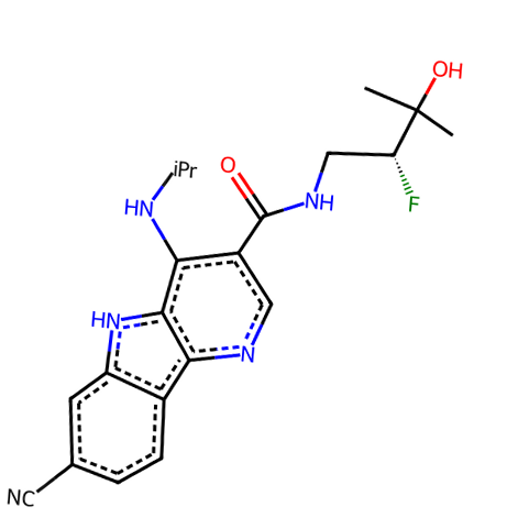 CC(C)Nc1c(C(=O)NC[C@@H](F)C(C)(C)O)cnc2c1[nH]c1cc(C#N)ccc12